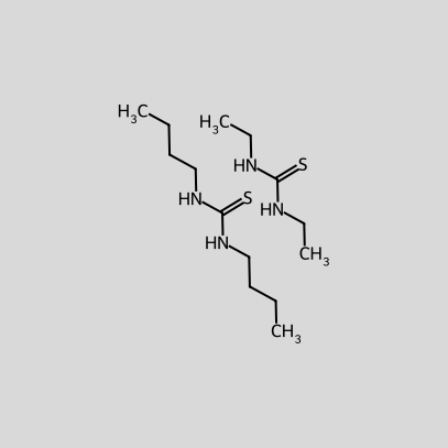 CCCCNC(=S)NCCCC.CCNC(=S)NCC